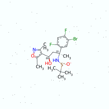 Cc1noc(C)c1[C@H](O)C[C@](C)(N[S+]([O-])C(C)(C)C)c1cc(Br)c(F)cc1F